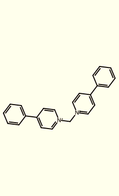 c1ccc(-c2cc[n+](C[n+]3ccc(-c4ccccc4)cc3)cc2)cc1